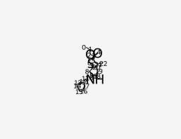 CCOC(=O)c1sc2cc(NCc3ccccc3)ccc2c1C